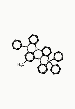 Cc1cc2c3c(c1)N1c4ccccc4[Si](c4ccccc4)(c4ccccc4)c4cccc(c41)B3c1ccccc1N2c1ccccc1